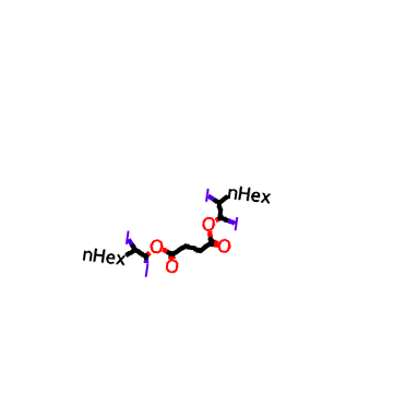 CCCCCCC(I)C(I)OC(=O)CCC(=O)OC(I)C(I)CCCCCC